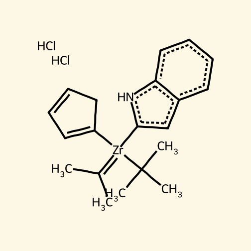 C[C](C)=[Zr]([C]1=CC=CC1)([c]1cc2ccccc2[nH]1)[C](C)(C)C.Cl.Cl